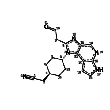 N#CC[C@H]1CC[C@H](n2c(CC=O)nc3cnc4[nH]ccc4c32)CC1